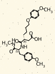 CNC(=O)[C@H](Cc1ccc(OC)cc1)NC(=O)[C@H](CCCCOc1ccc(OC)cc1)CC(=O)O